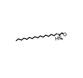 CCCCCCCCCCCCCCCC[C@@H](C=O)NC